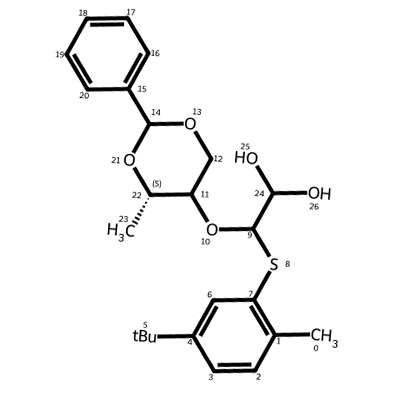 Cc1ccc(C(C)(C)C)cc1SC(OC1COC(c2ccccc2)O[C@H]1C)C(O)O